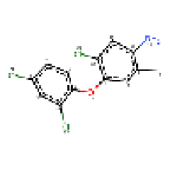 Cc1cc(Oc2ccc(Cl)cc2Cl)c(Cl)cc1N